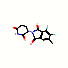 Cc1cc2c(c(F)c1F)C(=O)N([C@H]1CCC(=O)NC1=O)C2=O